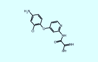 CCCC(=N)C(=O)Nc1cc(Oc2ccc(N)cc2Cl)ccn1